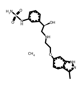 C.Cc1n[nH]c2cc(OCCNC[C@H](O)c3cccc(NS(N)(=O)=O)c3)ccc12